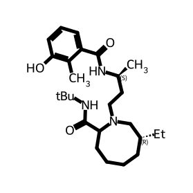 CC[C@@H]1CCCCC(C(=O)NC(C)(C)C)N(CC[C@H](C)NC(=O)c2cccc(O)c2C)C1